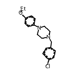 CCOc1ccc(N2CCN(Cc3ccc(Cl)cc3)CC2)cc1